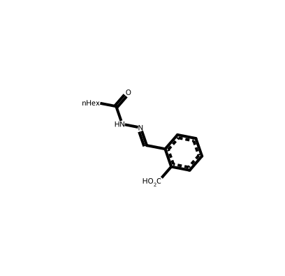 CCCCCCC(=O)N/N=C/c1ccccc1C(=O)O